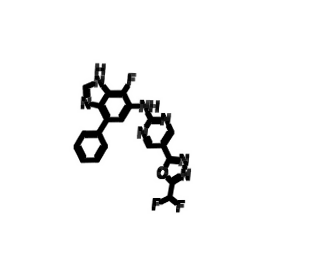 Fc1c(Nc2ncc(-c3nnc(C(F)F)o3)cn2)cc(-c2ccccc2)c2nc[nH]c12